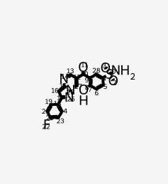 NS(=O)(=O)c1ccc(O)c(C(=O)c2cnc3cc(-c4ccc(F)cc4)nn3c2)c1